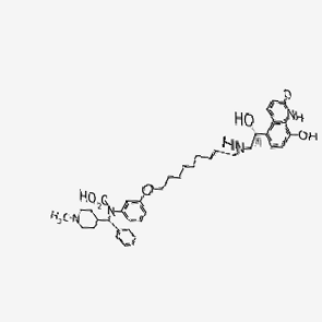 CN1CCC(C(c2ccccc2)N(C(=O)O)c2cccc(OCCCCCCCCCNC[C@H](O)c3ccc(O)c4[nH]c(=O)ccc34)c2)CC1